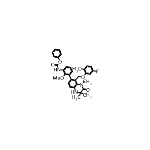 COc1c(NC(=O)Oc2ccccc2)cccc1-c1ccc2c(c1COc1cc(F)ccc1C)N(C)C(=O)C(C)(C)N2